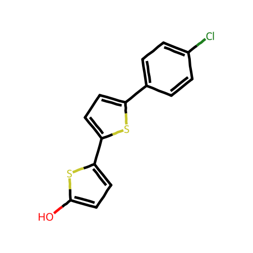 Oc1ccc(-c2ccc(-c3ccc(Cl)cc3)s2)s1